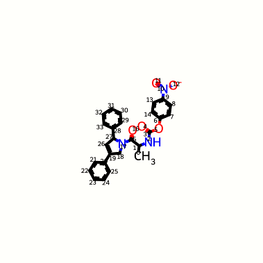 CC(NC(=O)Oc1ccc([N+](=O)[O-])cc1)C(=O)N1CC(c2ccccc2)=CC1c1ccccc1